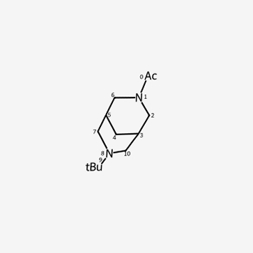 CC(=O)N1CC2CC(C1)CN(C(C)(C)C)C2